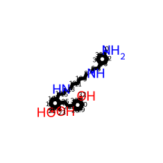 Nc1ccc(CCNCCCCCCNCCc2ccc(O)c(O)c2CCc2cccc(O)c2)cc1